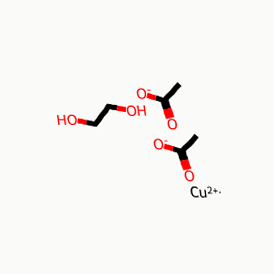 CC(=O)[O-].CC(=O)[O-].OCCO.[Cu+2]